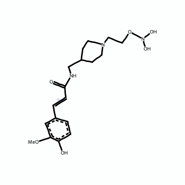 COc1cc(/C=C/C(=O)NCC2CCN(CCON(O)O)CC2)ccc1O